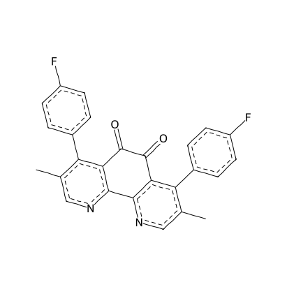 Cc1cnc2c(c1-c1ccc(F)cc1)C(=O)C(=O)c1c-2ncc(C)c1-c1ccc(F)cc1